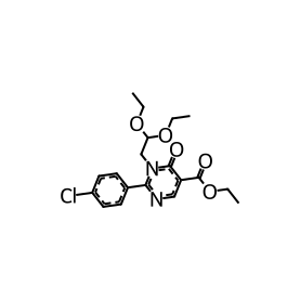 CCOC(=O)c1cnc(-c2ccc(Cl)cc2)n(CC(OCC)OCC)c1=O